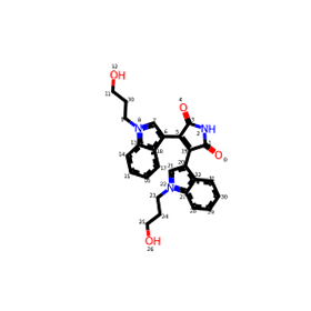 O=C1NC(=O)C(c2cn(CCCO)c3ccccc23)=C1c1cn(CCCO)c2ccccc12